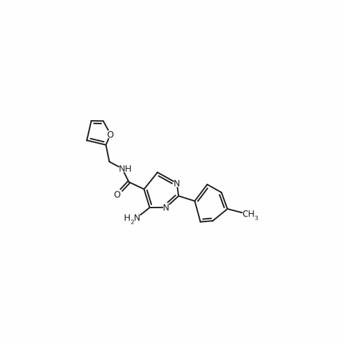 Cc1ccc(-c2ncc(C(=O)NCc3ccco3)c(N)n2)cc1